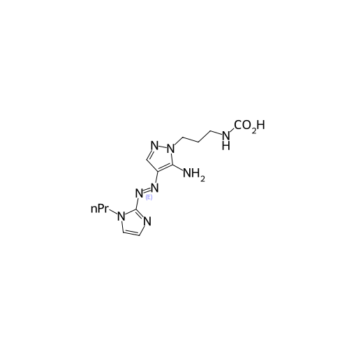 CCCn1ccnc1/N=N/c1cnn(CCCNC(=O)O)c1N